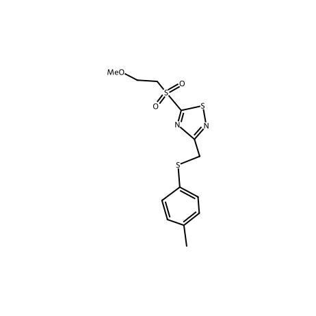 COCCS(=O)(=O)c1nc(CSc2ccc(C)cc2)ns1